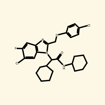 O=C(NC1CCCCC1)C(C1CCCCC1)n1c(COc2ccc(Cl)cc2)nc2cc(F)c(Cl)cc21